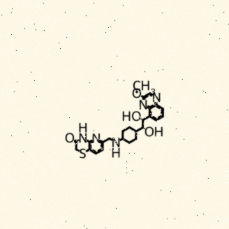 COc1cnc2cccc([C@@H](O)[C@H](O)C3CCC(NCc4ccc5c(n4)NC(=O)CS5)CC3)c2n1